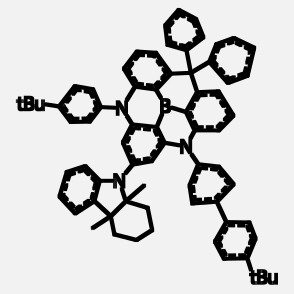 CC(C)(C)c1ccc(-c2ccc(N3c4cc(N5c6ccccc6C6(C)CCCCC56C)cc5c4B4c6c3cccc6C(c3ccccc3)(c3ccccc3)c3cccc(c34)N5c3ccc(C(C)(C)C)cc3)cc2)cc1